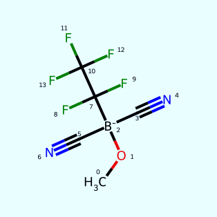 CO[B-](C#N)(C#N)C(F)(F)C(F)(F)F